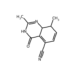 CC1=NC2C(=C(C#N)C=CC2C)C(=O)N1